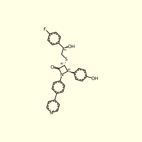 O=C1[C@H](SC[C@H](O)c2ccc(F)cc2)[C@@H](c2ccc(O)cc2)N1c1ccc(-c2ccncc2)cc1